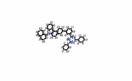 c1ccc(-c2nc(-c3ccccc3)nc(-c3cccc(-c4ccc5c(ccc6c5c5ccccc5n6-c5cccc6ccccc56)c4)c3)n2)cc1